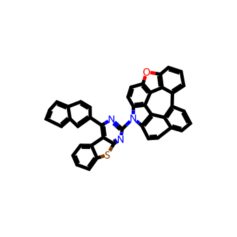 c1ccc2cc(-c3nc(-n4c5ccc6cccc7c6c5c5c6c(ccc54)oc4cccc-7c46)nc4sc5ccccc5c34)ccc2c1